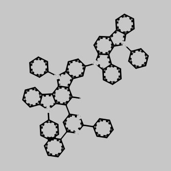 Cc1c(-c2cc(-c3ccccc3)nc(-c3ccccc3)n2)c2c(c3ccccc3n2-c2ccccc2)c2c1c1cc(-n3c4ccccc4c4c3ccc3c5ccccc5n(-c5ccccc5)c34)ccc1n2-c1ccccc1